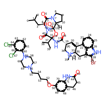 CC(C)C[C@H]1C(=O)N2CCC[C@H]2[C@]2(O)O[C@](NC(=O)[C@@H]3C=C4c5cccc6[nH]c(Br)c(c56)C[C@H]4N(C)C3)(C(C)C)C(=O)N12.O=C1CCc2ccc(OCCCCN3CCN(c4cccc(Cl)c4Cl)CC3)cc2N1